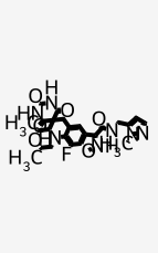 C[C@@H]1CN2c3c(cc4c(C(=O)NCc5ccnn5C)noc4c3F)CC3(C(=O)NC(=O)NC3=O)[C@H]2[C@H](C)O1